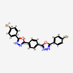 Brc1ccc(-c2nnc(-c3ccc(-c4nnc(-c5ccc(Br)cc5)o4)cc3)o2)cc1